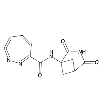 O=C(NC12CC(C1)C(=O)NC2=O)C1=NN=C=CC=C1